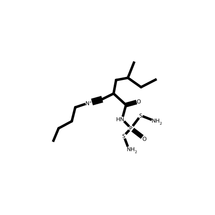 CCCC[N+]#CC(CC(C)CC)C(=O)NP(=O)(SN)SN